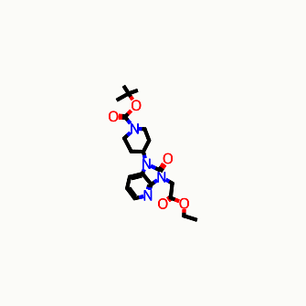 CCOC(=O)Cn1c(=O)n(C2CCN(C(=O)OC(C)(C)C)CC2)c2cccnc21